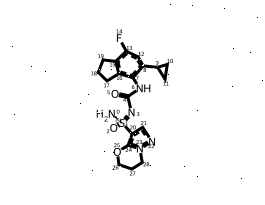 N[S@](=O)(=NC(=O)Nc1c(C2CC2)cc(F)c2c1CCC2)c1cnn2c1OCCC2